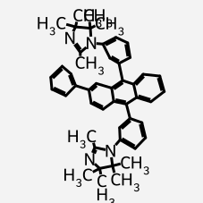 CC1=NC(C)(C)C(C)(C)N1c1cccc(-c2c3ccccc3c(-c3cccc(N4C(C)=NC(C)(C)C4(C)C)c3)c3cc(-c4ccccc4)ccc23)c1